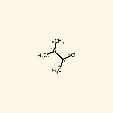 CB(C)C(C)Cl